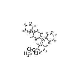 ClOCl.S.c1ccc(P(c2ccccc2)c2ccccc2)cc1.c1ccncc1